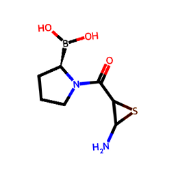 NC1SC1C(=O)N1CCC[C@H]1B(O)O